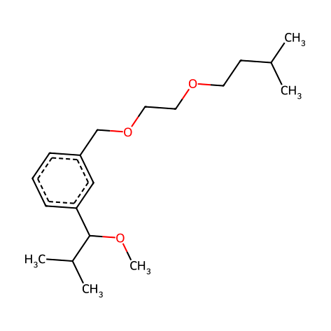 COC(c1cccc(COCCOCCC(C)C)c1)C(C)C